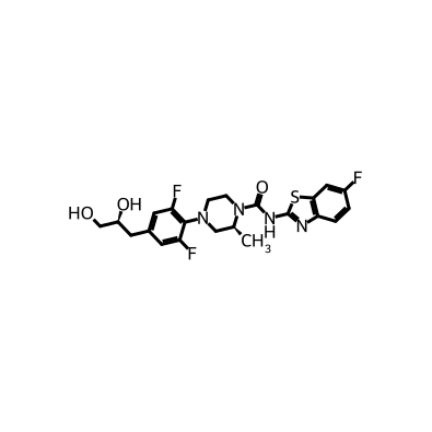 C[C@H]1CN(c2c(F)cc(C[C@H](O)CO)cc2F)CCN1C(=O)Nc1nc2ccc(F)cc2s1